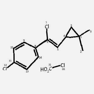 CC1(C)CC1/C=C(\Cl)c1ccc(Cl)cc1.O=C(O)Cl